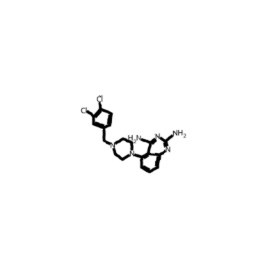 Nc1nc(N)c2c(N3CCN(Cc4ccc(Cl)c(Cl)c4)CC3)cccc2n1